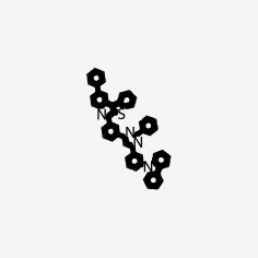 c1ccc(-c2ccc3nc(-c4cccc(-c5cc(-c6cccc(-n7c8ccccc8c8ccccc87)c6)nc(-c6ccccc6)n5)c4)c4sc5ccccc5c4c3c2)cc1